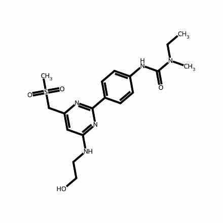 CCN(C)C(=O)Nc1ccc(-c2nc(CS(C)(=O)=O)cc(NCCO)n2)cc1